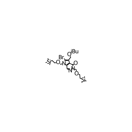 CCC(C)OCc1c(Br)n(COCC[Si](C)(C)C)c2cnn(COCC[Si](C)(C)C)c(=O)c12